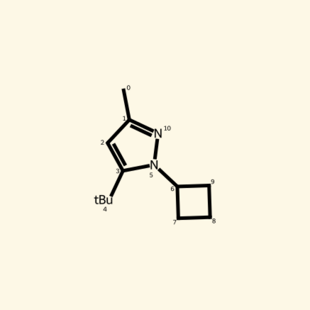 Cc1cc(C(C)(C)C)n(C2CCC2)n1